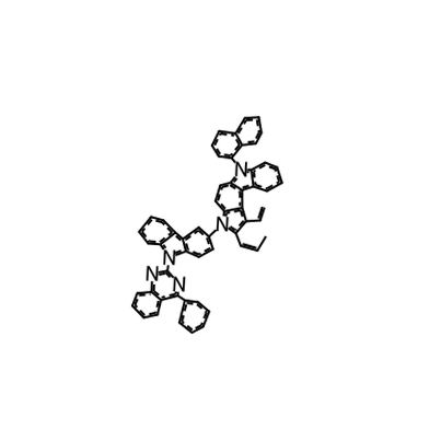 C=Cc1c(/C=C\C)n(-c2ccc3c(c2)c2ccccc2n3-c2nc(-c3ccccc3)c3ccccc3n2)c2ccc3c(c4ccccc4n3-c3cccc4ccccc34)c12